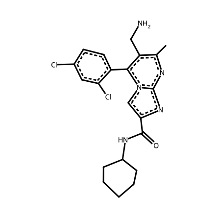 Cc1nc2nc(C(=O)NC3CCCCC3)cn2c(-c2ccc(Cl)cc2Cl)c1CN